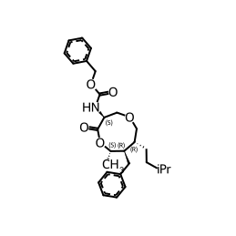 CC(C)CC[C@H]1COC[C@H](NC(=O)OCc2ccccc2)C(=O)O[C@@H](C)[C@@H]1Cc1ccccc1